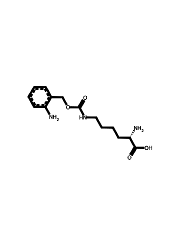 Nc1ccccc1COC(=O)NCCCC[C@H](N)C(=O)O